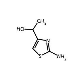 CC(O)c1csc(N)n1